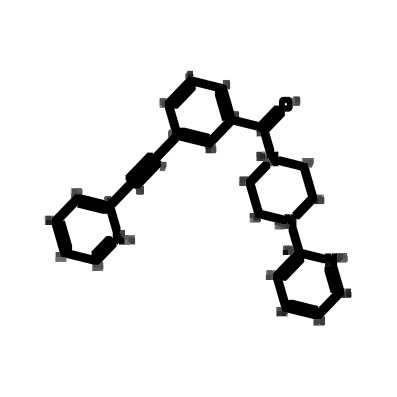 O=C(c1cccc(C#Cc2ccccn2)c1)N1CCN(c2ccccn2)CC1